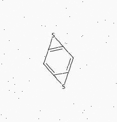 c1c2sc2cc2sc12